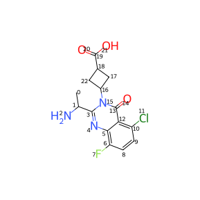 CC(N)c1nc2c(F)ccc(Cl)c2c(=O)n1C1CC(C(=O)O)C1